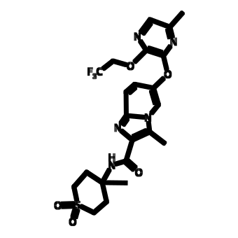 Cc1cnc(OCC(F)(F)F)c(Oc2ccc3nc(C(=O)NC4(C)CCS(=O)(=O)CC4)c(C)n3c2)n1